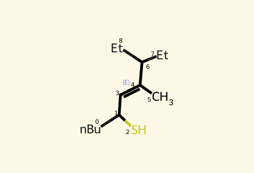 CCCCC(S)/C=C(\C)C(CC)CC